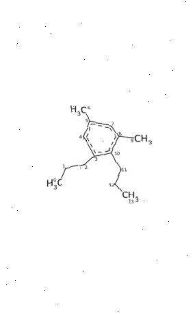 CCCc1[c]c(C)cc(C)c1CCC